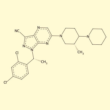 C[C@@H]1CN(c2cnc3c(C#N)nn([C@H](C)c4ccc(Cl)cc4Cl)c3n2)CCC1N1CCCCC1